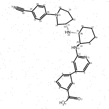 CC(=O)c1cccc(-c2ccnc(N[C@@H]3CCCC[C@H]3N[C@H]3CCCN(c4ccc(C#N)cc4)C3)c2)c1